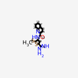 CSc1sc(C(=N)N)cc1NC(=O)c1ccc2ccccc2n1